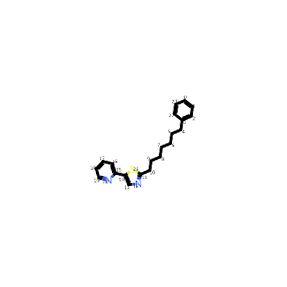 c1ccc(CCCCCCCc2ncc(-c3ccccn3)s2)cc1